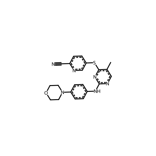 Cc1cnc(Nc2ccc(N3CCOCC3)cc2)nc1Sc1ccc(C#N)nc1